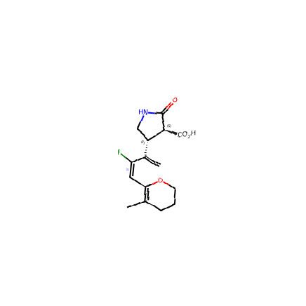 C=C(/C(F)=C\C1=C(C)CCCO1)[C@@H]1CNC(=O)[C@H]1C(=O)O